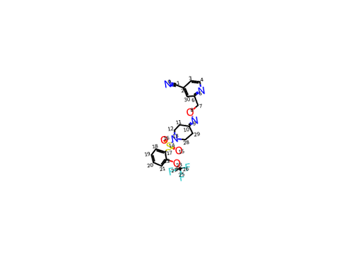 N#Cc1ccnc(CON=C2CCN(S(=O)(=O)c3ccccc3OC(F)(F)F)CC2)c1